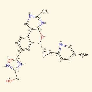 COc1ccc([C@H]2C[C@@H]2COc2nc(C)ncc2-c2ccc(-c3nc(CO)no3)cc2)nc1